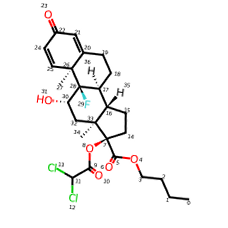 CCCCOC(=O)[C@@]1(OC(=O)C(Cl)Cl)CC[C@H]2[C@@H]3CCC4=CC(=O)C=C[C@]4(C)[C@@]3(F)[C@@H](O)C[C@@]21C